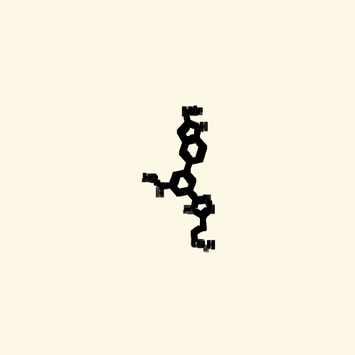 CNc1cc2cc(-c3cc(NO)cc(-c4nnc(SCC(=O)O)[nH]4)c3)ccc2[nH]1